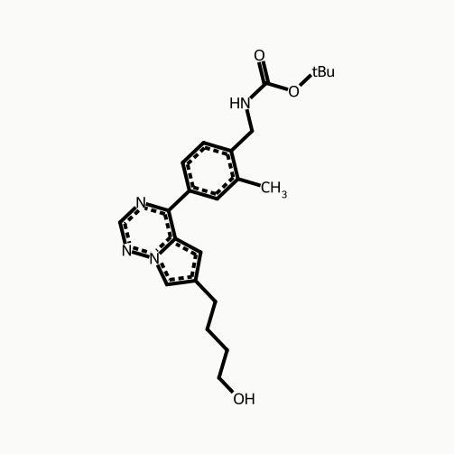 Cc1cc(-c2ncnn3cc(CCCCO)cc23)ccc1CNC(=O)OC(C)(C)C